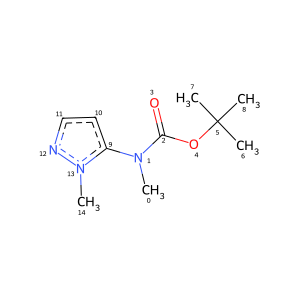 CN(C(=O)OC(C)(C)C)c1ccnn1C